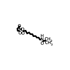 C=C(C)C(=O)NCCCCCCCCCCC(=O)ON1C(=O)CCC1=O